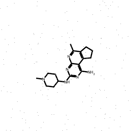 Cc1nc2nc(NC3CCN(C)CC3)nc(N)c2c2c1CCC2